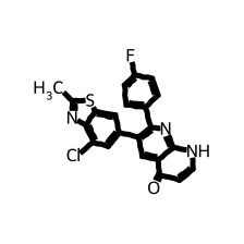 Cc1nc2c(Cl)cc(-c3cc4c(=O)cc[nH]c4nc3-c3ccc(F)cc3)cc2s1